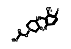 CC(C)(C)C(=O)ON1CCC(Nc2c([N+](=O)[O-])ccc(F)c2C(F)(F)F)CC1